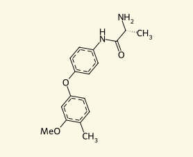 COc1cc(Oc2ccc(NC(=O)[C@@H](C)N)cc2)ccc1C